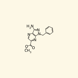 COC(=O)c1cnc2c(N)nn(Cc3ccccc3)c2n1